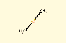 CCCCCCCCSOSCCCCCCCC